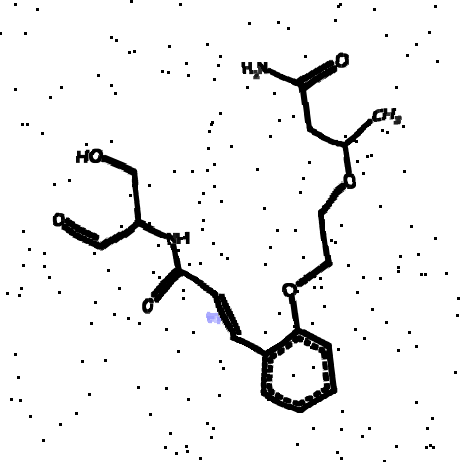 CC(CC(N)=O)OCCOc1ccccc1/C=C/C(=O)NC(C=O)CO